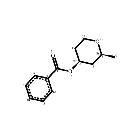 C[C@H]1C[C@@H](OC(=O)c2ccccc2)CCO1